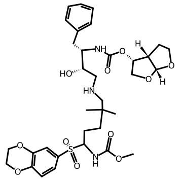 COC(=O)NC(CCC(C)(C)CNC[C@H](O)[C@H](Cc1ccccc1)NC(=O)O[C@H]1CO[C@H]2OCC[C@H]21)S(=O)(=O)c1ccc2c(c1)OCCO2